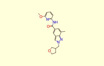 COc1cccc(NC(=O)c2cc(C)c3nn(CC4CCOC4)cc3c2)n1